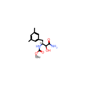 Cc1cc(C)cc(C[C@H](NC(=O)OC(C)(C)C)C(O)C(N)=O)c1